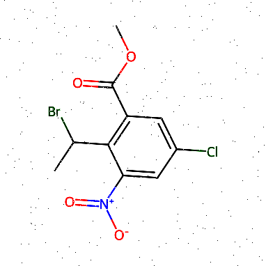 COC(=O)c1cc(Cl)cc([N+](=O)[O-])c1C(C)Br